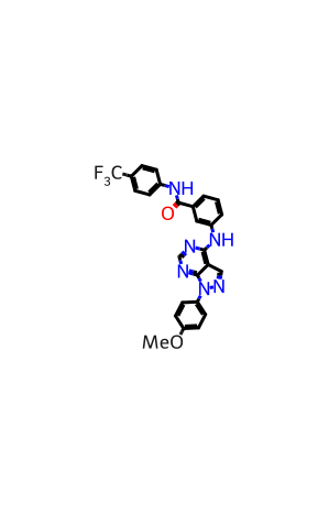 COc1ccc(-n2ncc3c(Nc4cccc(C(=O)Nc5ccc(C(F)(F)F)cc5)c4)ncnc32)cc1